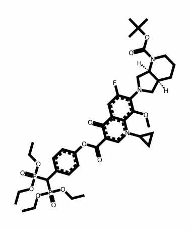 CCOP(=O)(OCC)C(c1ccc(OC(=O)c2cn(C3CC3)c3c(OC)c(N4C[C@@H]5CCCN(C(=O)OC(C)(C)C)[C@@H]5C4)c(F)cc3c2=O)cc1)P(=O)(OCC)OCC